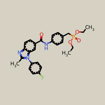 CCOP(=O)(Cc1ccc(NC(=O)c2ccc3nc(C)n(-c4ccc(F)cc4)c3c2)cc1)OCC